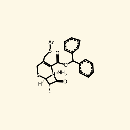 CC(=O)SCC1=C(C(=O)OC(c2ccccc2)c2ccccc2)[N+]2(N)C(=O)[C@H](C)[C@H]2SC1